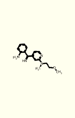 COCCN(C)c1cc(C(=N)c2ccccc2N)ccn1